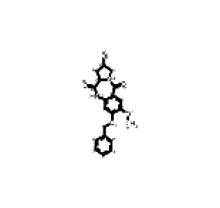 COc1cc2c(cc1OCc1ccccc1)NC(=O)C1CC(O)CN1C2=O